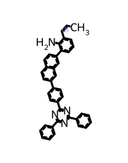 C/C=C\c1cccc(-c2ccc3ccc(-c4ccc(-c5nc(-c6ccccc6)nc(-c6ccccc6)n5)cc4)cc3c2)c1N